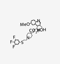 COc1ccc2ncc(CO)c([C@@H](F)CCC3(C(=O)O)CCN(CCSc4cc(F)c(F)c(F)c4)CC3)c2c1